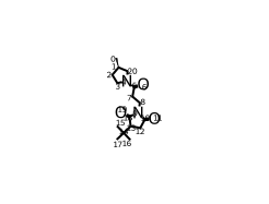 C[C@@H]1CCN(C(=O)CCN2C(=O)CC(C(C)(C)C)C2=O)C1